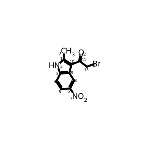 Cc1[nH]c2ccc([N+](=O)[O-])cc2c1C(=O)CBr